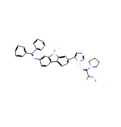 CCCCn1c2cc(N=C(c3ccccc3)c3ccccc3)ccc2c2ccc(-c3cnc([C@@H]4CCCN4C(=O)C(NC(=O)O)C(C)C)[nH]3)cc21